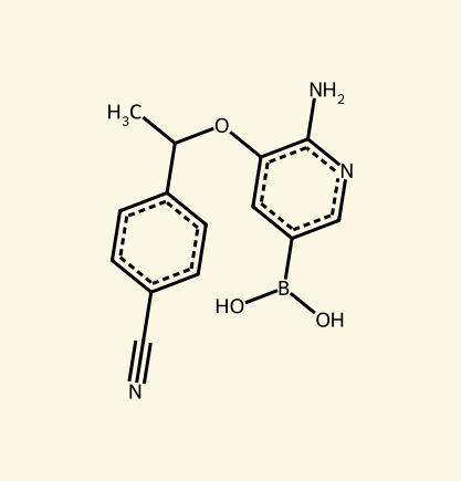 CC(Oc1cc(B(O)O)cnc1N)c1ccc(C#N)cc1